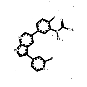 CC(=O)N(C)c1cc(-c2cnc3[nH]cc(-c4ccnc(F)c4)c3c2)ccc1F